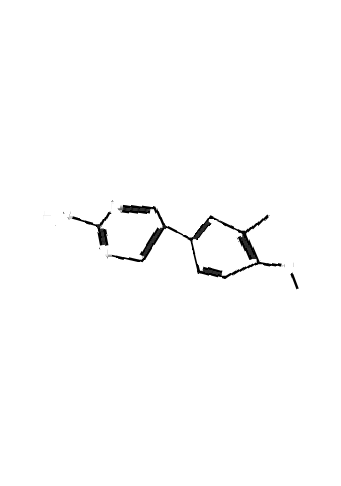 COc1ccc(-c2cnc(N)nc2)cc1F